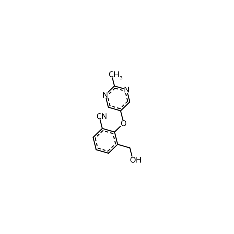 Cc1ncc(Oc2c(C#N)cccc2CO)cn1